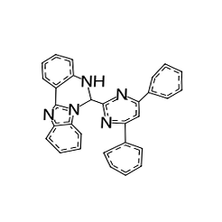 c1ccc(-c2cc(-c3ccccc3)nc(C3Nc4ccccc4-c4nc5ccccc5n43)n2)cc1